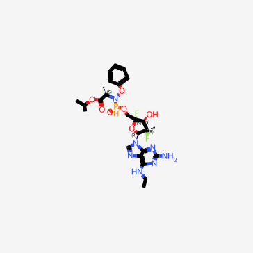 CCNc1nc(N)nc2c1ncn2[C@@H]1O[C@](F)(CO[PH](=O)N(Oc2ccccc2)[C@@H](C)C(=O)OC(C)C)[C@@H](O)[C@@]1(C)F